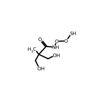 CC(CO)(CO)C(=O)NOOS